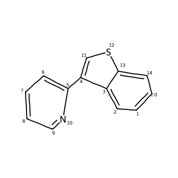 [c]1ccc2c(-c3ccccn3)csc2c1